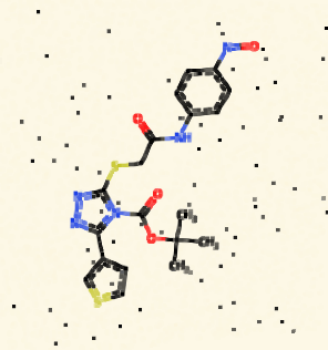 CC(C)(C)OC(=O)n1c(SCC(=O)Nc2ccc(N=O)cc2)nnc1-c1ccsc1